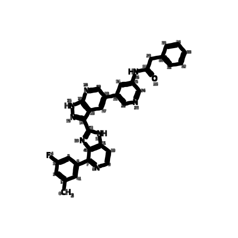 Cc1cc(F)cc(-c2nccc3[nH]c(-c4n[nH]c5ncc(-c6cncc(NC(=O)Cc7ccccc7)c6)cc45)nc23)c1